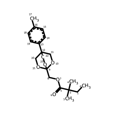 CCC(C)(C)C(=O)OCC12OCC(c3ccc(C)cc3)(CO1)CO2